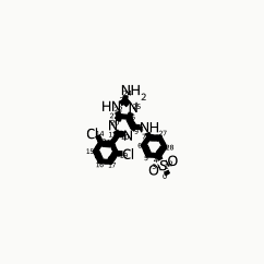 CS(=O)(=O)c1ccc(Nc2nc(-c3c(Cl)cccc3Cl)nc3[nH]c(N)nc23)cc1